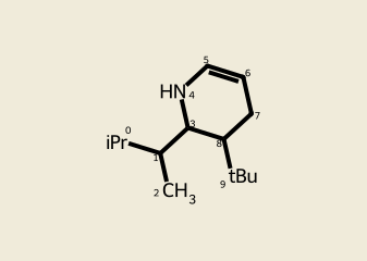 CC(C)C(C)C1NC=CCC1C(C)(C)C